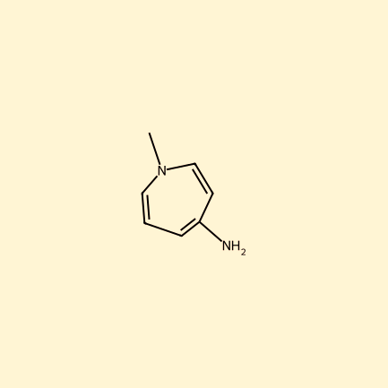 CN1C=CC=C(N)C=C1